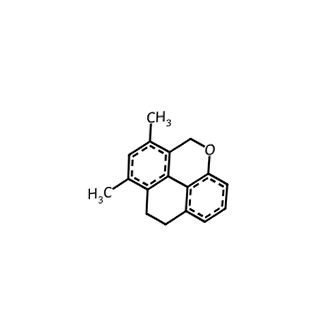 Cc1cc(C)c2c3c1CCc1cccc(c1-3)OC2